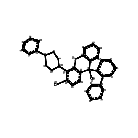 OC1(c2ccccc2-c2ccccc2)c2ccccc2Sc2c1ccc(Cl)c2C1CCC(c2ccccc2)CC1